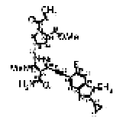 C=CC(=O)N1C[C@@H](Cn2nc(C#Cc3cc4nc(C5CC5)n(C)c4cc3F)c(C(N)=O)c2NC)C[C@@H]1COC